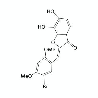 COc1cc(OC)c(/C=C2\Oc3c(ccc(O)c3O)C2=O)cc1Br